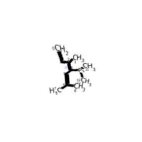 C=C/C(C)=C(\C=C(C)C)P(C)C